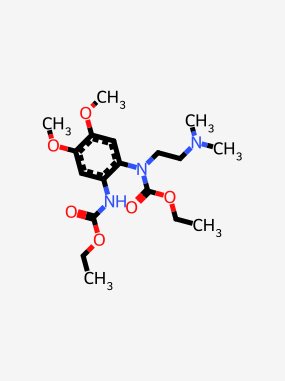 CCOC(=O)Nc1cc(OC)c(OC)cc1N(CCN(C)C)C(=O)OCC